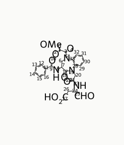 COC(=O)C(=O)N1C[C@H](NC(=O)c2ccccc2)C(=O)N(CC(=O)N[C@H](C=O)CC(=O)O)c2ccccc21